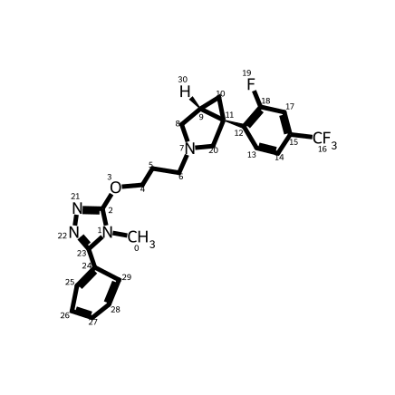 Cn1c(OCCCN2C[C@@H]3C[C@]3(c3ccc(C(F)(F)F)cc3F)C2)nnc1-c1ccccc1